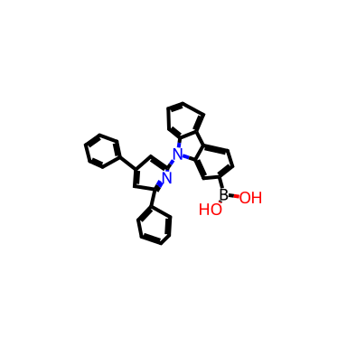 OB(O)c1ccc2c3ccccc3n(-c3cc(-c4ccccc4)cc(-c4ccccc4)n3)c2c1